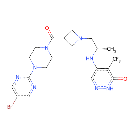 C[C@@H](CN1CC(C(=O)N2CCN(c3ncc(Br)cn3)CC2)C1)Nc1cn[nH]c(=O)c1C(F)(F)F